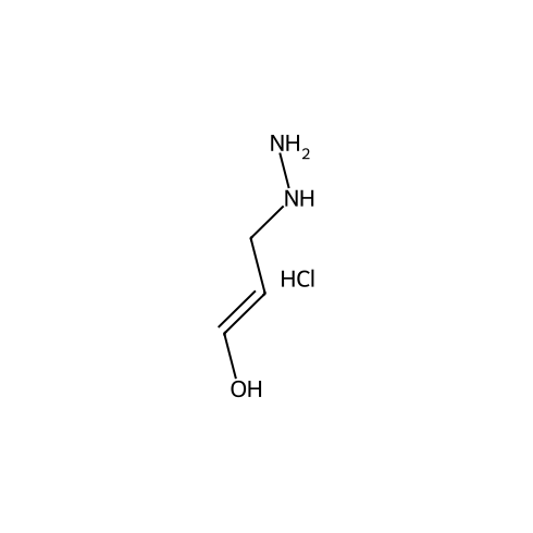 Cl.NNCC=CO